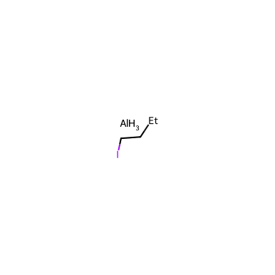 CCCCI.[AlH3]